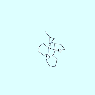 CC1C[S+]1C1(C2(C3CCCCO3)CCCC2)CCCCC1